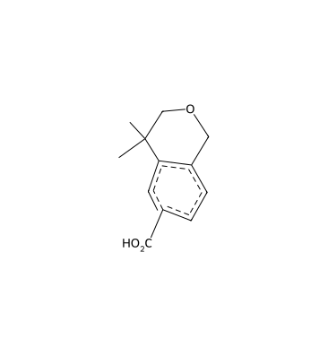 CC1(C)COCc2ccc(C(=O)O)cc21